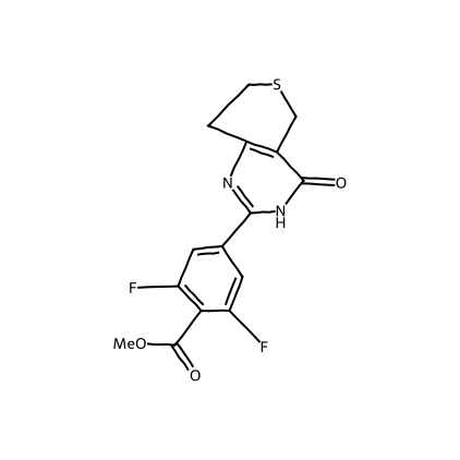 COC(=O)c1c(F)cc(-c2nc3c(c(=O)[nH]2)CSCC3)cc1F